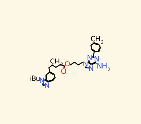 CCC(C)n1cnc2c1=CC(C[C@H](C)CCC(=O)OCCCCn1cnc3c(N)nc(C4=CCC(C)=CC=C4)nc31)=CC=C=2